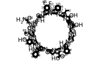 CCCC[C@H]1C(=O)N2C[C@H](O)C[C@@H]2C(=O)N[C@@H](CC(=O)O)C(=O)N[C@@H](C(C)C)C(=O)N(C)[C@@H](Cc2ccccc2)C(=O)N[C@@H](CCC(=O)O)C(=O)N2CCC[C@@H]2C(=O)N[C@@H](Cc2c[nH]c3ccccc23)C(=O)N[C@@H](Cc2ccc(O)cc2)C(=O)N[C@@H](CCOC)C(=O)N[C@H](C(=O)NCC(N)=O)CSCC(=O)N[C@@H](Cc2ccc(F)c(F)c2)C(=O)N(C)[C@@H](Cc2ccccc2)C(=O)N1C